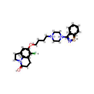 O=C1CCc2c(F)c(OCCCCN3CCN(c4nsc5ccccc45)CC3)cc3c2N1CC3